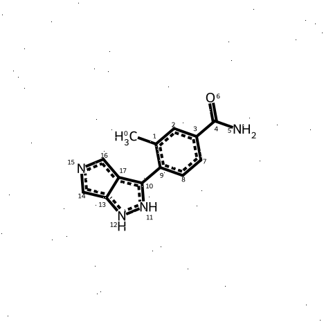 Cc1cc(C(N)=O)ccc1-c1[nH][nH]c2cncc1-2